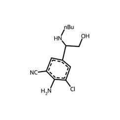 CCCCNC(CO)c1cc(Cl)c(N)c(C#N)c1